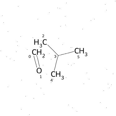 C=O.CC(C)C